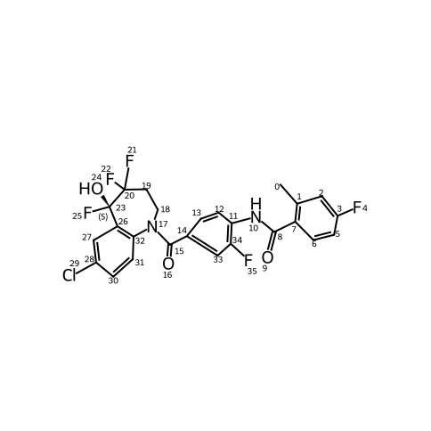 Cc1cc(F)ccc1C(=O)Nc1ccc(C(=O)N2CCC(F)(F)[C@@](O)(F)c3cc(Cl)ccc32)cc1F